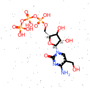 Nc1nc(=O)n([C@@H]2O[C@H](COP(=O)(O)OP(=O)(O)OP(=O)(O)O)C(O)[C@@H]2O)cc1CO